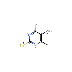 Cc1nc(S)nc(C)c1C(C)(C)C